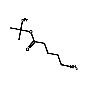 CCCC(C)(C)OC(=O)CCCCN